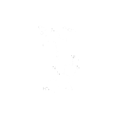 COc1nc(OC)c(F)c(C#Cc2nn(C3CCNC3)c3c(C4CC4)cnc(N)c23)c1F